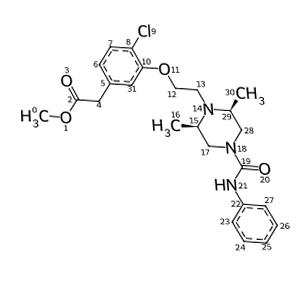 COC(=O)Cc1ccc(Cl)c(OCCN2[C@H](C)CN(C(=O)Nc3ccccc3)C[C@@H]2C)c1